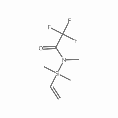 C=C[Si](C)(C)N(C)C(=O)C(F)(F)F